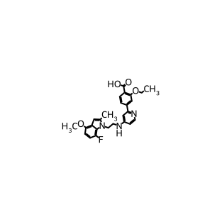 CCOc1cc(-c2cc(NCCn3c(C)cc4c(OC)ccc(F)c43)ccn2)ccc1C(=O)O